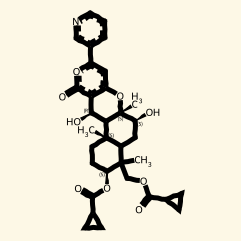 CC1(COC(=O)C2CC2)C2C[C@H](O)[C@@]3(C)Oc4cc(-c5cccnc5)oc(=O)c4[C@H](O)C3[C@@]2(C)CC[C@@H]1OC(=O)C1CC1